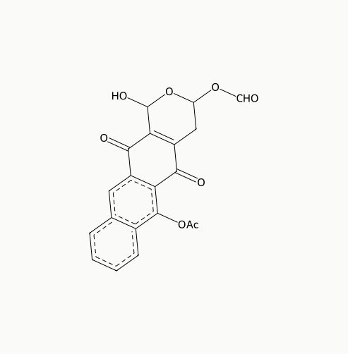 CC(=O)Oc1c2c(cc3ccccc13)C(=O)C1=C(CC(OC=O)OC1O)C2=O